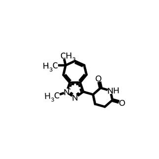 Cn1nc(C2CCC(=O)NC2=O)c2c1=CC(C)(C)C=CC=2